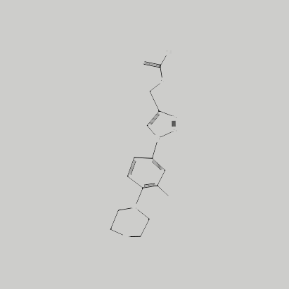 NC(=S)NCc1cn(-c2ccc(N3CCOCC3)c(F)c2)nn1